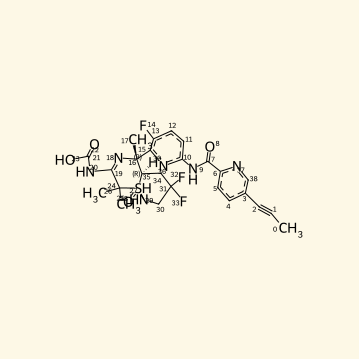 CC#Cc1ccc(C(=O)Nc2ccc(F)c([C@@]3(C)N=C(NC(=O)O)C(C)(C)[SH]4(=O)NCC(F)(F)C[C@H]34)n2)nc1